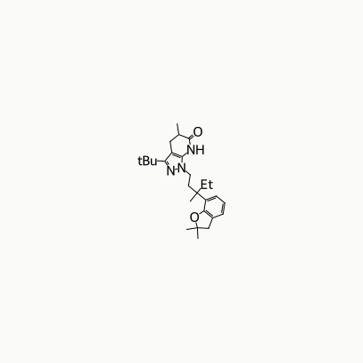 CCC(C)(CCn1nc(C(C)(C)C)c2c1NC(=O)C(C)C2)c1cccc2c1OC(C)(C)C2